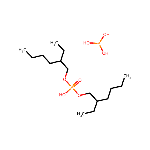 CCCCC(CC)COP(=O)(O)OCC(CC)CCCC.OP(O)O